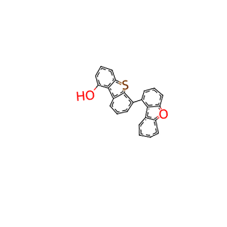 Oc1cccc2sc3c(-c4cccc5oc6ccccc6c45)cccc3c12